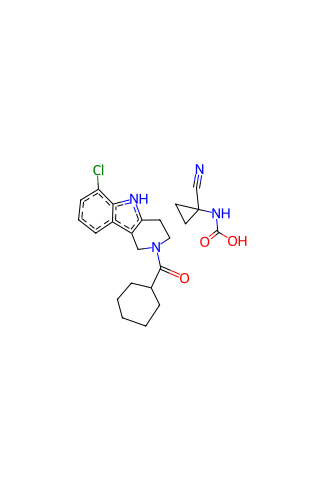 N#CC1(NC(=O)O)CC1.O=C(C1CCCCC1)N1CCc2[nH]c3c(Cl)cccc3c2C1